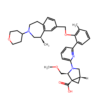 COC[C@H]1N(c2cccc(-c3cccc(C)c3OCc3ccc4c(c3)[C@@H](C)CN(C3CCOCC3)CC4)n2)C[C@@H]2C[C@@]21C(=O)O